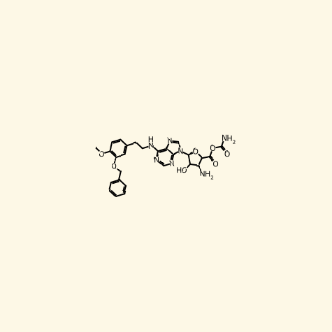 COc1ccc(CCNc2ncnc3c2ncn3C2OC(C(=O)OC(N)=O)C(N)C2O)cc1OCc1ccccc1